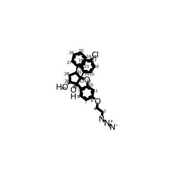 [N-]=[N+]=NCCOc1ccc2c(c1)O[C@@]1(c3ccc(Cl)cc3)[C@H](c3ccccc3)C[C@H](O)[C@@]21O